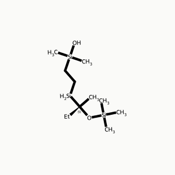 CC[C@@](C)(O[Si](C)(C)C)[SiH2]CC[Si](C)(C)O